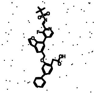 CC(C)(C)S(=O)(=O)N=Cc1nccc(-c2cc(COc3cc(-c4ccccc4)ccc3CC(=O)O)cc3ccoc23)c1F